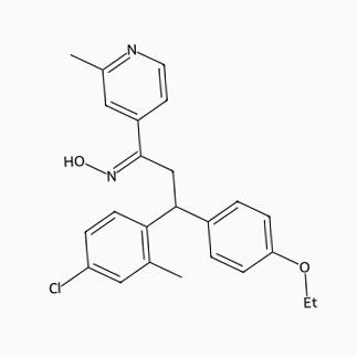 CCOc1ccc(C(CC(=NO)c2ccnc(C)c2)c2ccc(Cl)cc2C)cc1